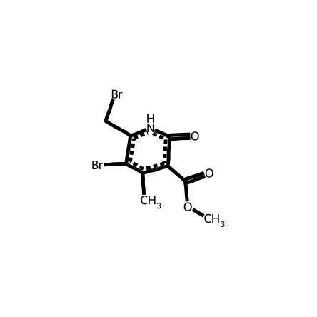 COC(=O)c1c(C)c(Br)c(CBr)[nH]c1=O